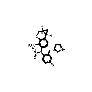 O=C(O)c1c(N(c2ccc(F)cc2C[C@@H]2CCNC2)[SH](=O)=O)ccc2c1OC[C@@H]1C[C@H]21